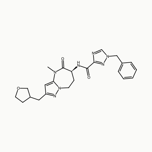 CN1C(=O)[C@@H](NC(=O)c2ncn(Cc3ccccc3)n2)CCn2nc(CC3CCOC3)cc21